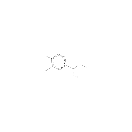 CCN[C@H](C)c1cc(Cl)c(F)cn1